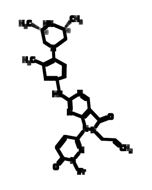 C=CCn1c(=O)c2cnc(Nc3ccc(N4C[C@@H](C)N[C@@H](C)C4)c(C)c3)nc2n1-c1ccc(=O)n(C(C)C)n1